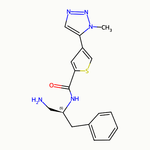 Cn1nncc1-c1csc(C(=O)N[C@H](CN)Cc2ccccc2)c1